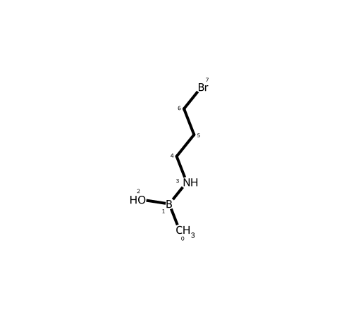 CB(O)NCCCBr